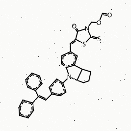 O=COCN1C(=O)C(=Cc2ccc3c(c2)C2CCCC2N3c2ccc(C=C(c3ccccc3)c3ccccc3)cc2)SC1=S